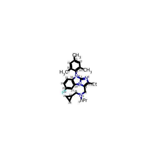 CCCN(Cc1c(CC)nc2n(-c3c(C)cc(C)cc3C)c3ccc(F)cc3n12)CC1CC1